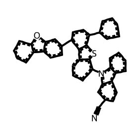 N#Cc1ccc2c3ccccc3n(-c3cccc4c3sc3c(-c5ccccc5)ccc(-c5ccc6c(c5)oc5ccccc56)c34)c2c1